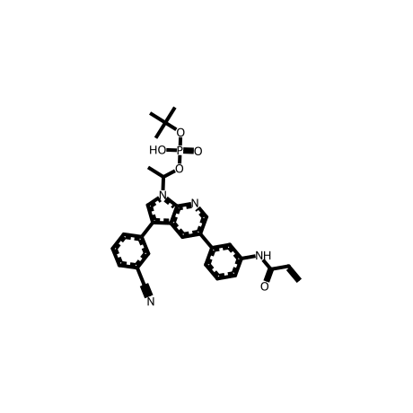 C=CC(=O)Nc1cccc(-c2cnc3c(c2)c(-c2cccc(C#N)c2)cn3C(C)OP(=O)(O)OC(C)(C)C)c1